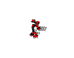 CCC(C)(C)C(=O)COCC1CCCCN1C(=O)OC(CCc1ccc(OC)c(OC)c1)c1cccc(OCCNCCC2CC3OCC3C3CC4(O)CCC(C)=C(C(O)C(=O)C23C)C4(C)C)c1